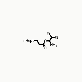 CCCCCCCCCC(=O)OC(N)C(CC)CC